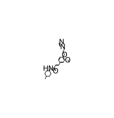 COc1cc(C=CC(=O)NC2CCC(C)CC2)ccc1OCCn1ccnc1